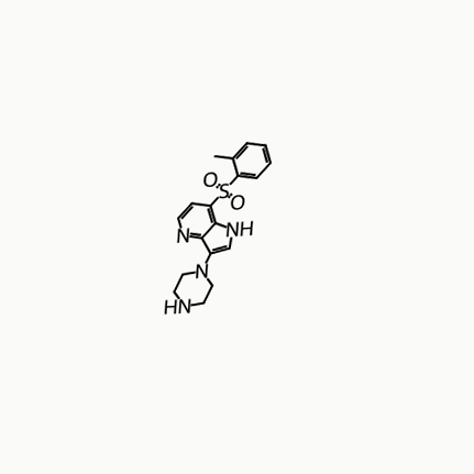 Cc1ccccc1S(=O)(=O)c1ccnc2c(N3CCNCC3)c[nH]c12